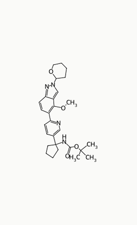 COc1c(-c2ccc(C3(NC(=O)OC(C)(C)C)CCCC3)cn2)ccc2nn(C3CCCCO3)cc12